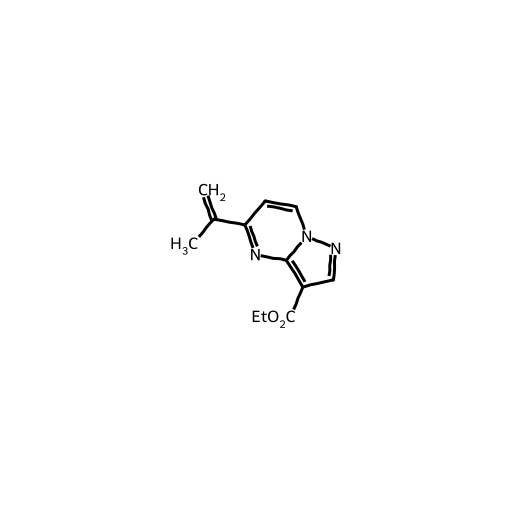 C=C(C)c1ccn2ncc(C(=O)OCC)c2n1